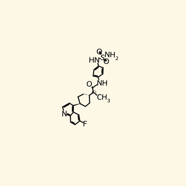 C[C@H](C(=O)Nc1ccc(NS(N)(=O)=O)cc1)[C@H]1CC[C@H](c2ccnc3ccc(F)cc32)CC1